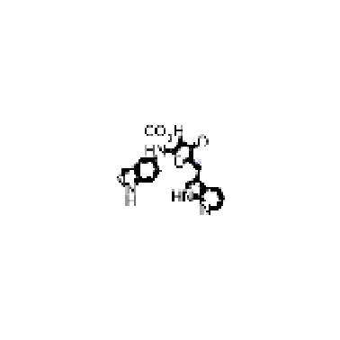 O=C(O)C1=C(Nc2ccc3[nH]ncc3c2)O/C(=C\c2c[nH]c3ncccc23)C1=O